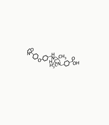 CN(Cc1ccc(C(=O)O)cc1)CC(C)(C)CNCc1ccc(Oc2ccc(-c3ncco3)cc2)cc1